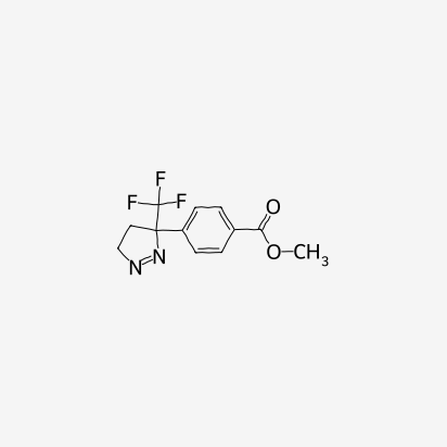 COC(=O)c1ccc(C2(C(F)(F)F)CCN=N2)cc1